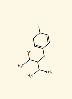 CC(C)C(CC1=CCC(F)C=C1)C(C)S